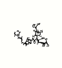 CCN(CC)CCSc1cnc(NC(=O)N(C2CCC(C)CC2)C2CCN(C(C)=O)CC2)s1